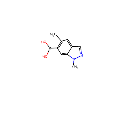 Cc1cc2cnn(C)c2cc1B(O)O